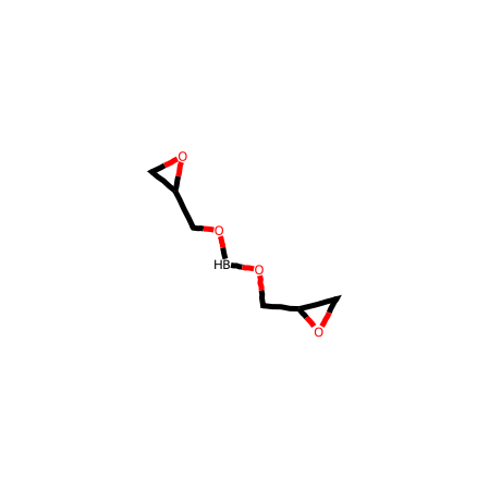 B(OCC1CO1)OCC1CO1